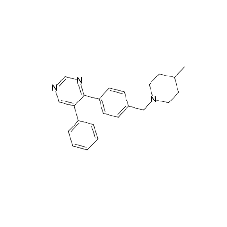 CC1CCN(Cc2ccc(-c3ncncc3-c3ccccc3)cc2)CC1